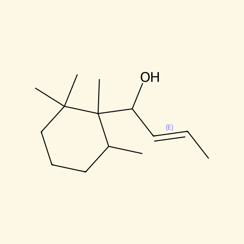 C/C=C/C(O)C1(C)C(C)CCCC1(C)C